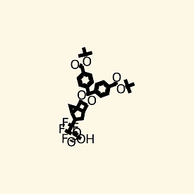 CC(C)(C)OC(=O)c1ccc(C2(c3ccc(C(=O)OC(C)(C)C)cc3)OC3C4CC(C(F)(F)C(F)(F)S(=O)(=O)O)C5CC45C3O2)cc1